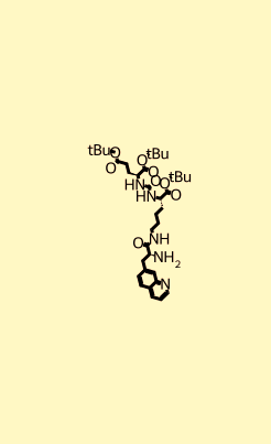 CC(C)(C)OC(=O)CC[C@H](NC(=O)N[C@@H](CCCCNC(=O)[C@H](N)Cc1ccc2cccnc2c1)C(=O)OC(C)(C)C)C(=O)OC(C)(C)C